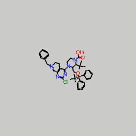 CC(C)(C)C1C(CO[Si](c2ccccc2)(c2ccccc2)C(C)(C)C)N(c2nc(Cl)nc3c2CCN(Cc2ccccc2)C3)CCN1C(=O)O